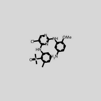 COc1ccc(N)cc1Nc1ncc(Cl)c(Nc2cccc(C)c2P(C)(C)=O)n1